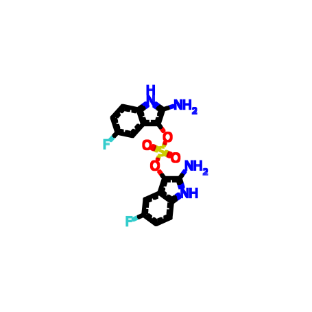 Nc1[nH]c2ccc(F)cc2c1OS(=O)(=O)Oc1c(N)[nH]c2ccc(F)cc12